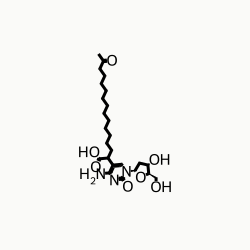 CC(=O)CCCCCCCCCCCCC(C(=O)O)c1cn([C@H]2C[C@H](O)[C@@H](CO)O2)c(=O)nc1N